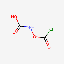 O=C(O)NOC(=O)Cl